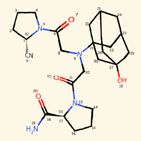 N#C[C@@H]1CCCN1C(=O)CN(CC(=O)N1CCC[C@H]1C(N)=O)C12CC3CC(CC(O)(C3)C1)C2